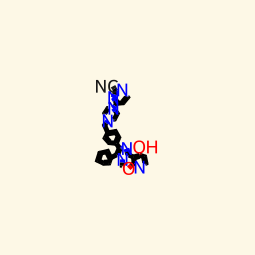 N#Cc1nccc(N2CCN(Cc3ccc(-c4nc5n(c4-c4ccccc4)COc4nccc(O)c4-5)cc3)CC2)n1